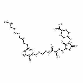 CC(C)NCCOCCOCCC(=O)N[C@@H](CCCCNC(=O)[C@H](N)CSC1CC(=O)N(CC2CCC(C(=O)C(C)C)CC2)C1=O)C(N)=O